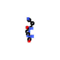 O=C(NCCc1cccc(-c2ccncc2)c1)c1ccc2cnc(NC3CCOCC3)cc2n1